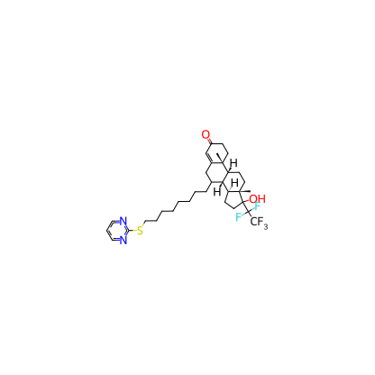 C[C@]12CCC(=O)C=C1CC(CCCCCCCCSc1ncccn1)[C@@H]1[C@H]2CC[C@@]2(C)[C@H]1CCC2(O)C(F)(F)C(F)(F)F